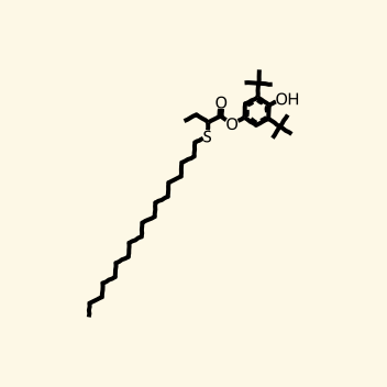 CCCCCCCCCCCCCCCCCCSC(CC)C(=O)Oc1cc(C(C)(C)C)c(O)c(C(C)(C)C)c1